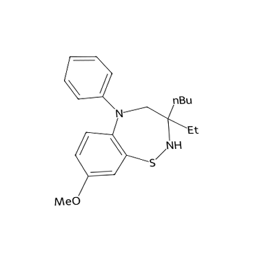 CCCCC1(CC)CN(c2ccccc2)c2ccc(OC)cc2SN1